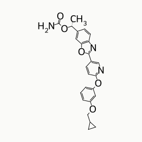 C[C@@H](OC(N)=O)c1ccc2nc(-c3ccc(Oc4cccc(OCC5CC5)c4)nc3)oc2c1